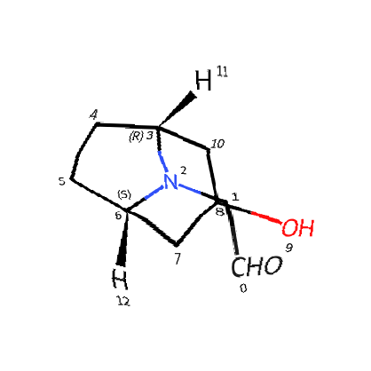 O=CCN1[C@@H]2CC[C@H]1CC(O)C2